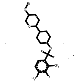 CCOC1CCC(C2CCC(OC(F)(F)c3ccc(C)c(F)c3C(F)(F)F)CC2)OC1